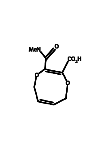 CNC(=O)/C1=C(\C(=O)O)OC/C=C\CO1